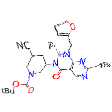 CC(C)CN(C(=O)c1cnc(C(C)(C)C)nc1NCc1ccco1)C1CC(C#N)CN(C(=O)OC(C)(C)C)C1